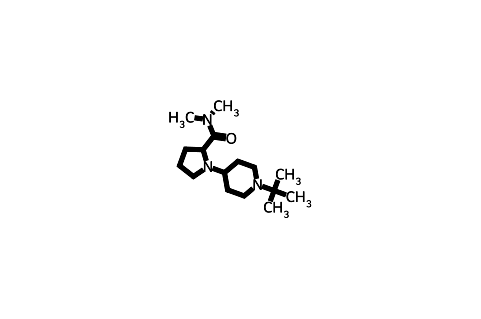 CN(C)C(=O)C1CCCN1C1CCN(C(C)(C)C)CC1